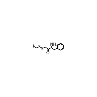 N[C@@H](Cc1ccccc1)C(=O)CSSCI